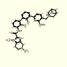 COc1nc(-c2cccc(-c3cccc(NC(=O)c4nc5c(n4C)CCN(C)C5)c3Cl)c2Cl)ccc1CN1CC2CC(C1)N2C